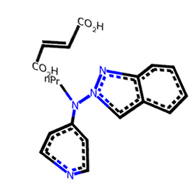 CCCN(c1ccncc1)n1cc2ccccc2n1.O=C(O)C=CC(=O)O